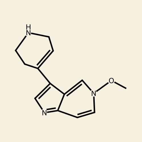 COn1ccc2ncc(C3=CCNCC3)c-2c1